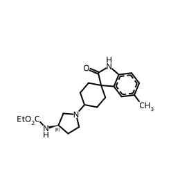 CCOC(=O)N[C@@H]1CCN(C2CCC3(CC2)C(=O)Nc2ccc(C)cc23)C1